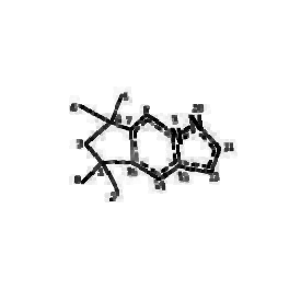 CC1(C)CC(C)(C)c2cn3nccc3cc21